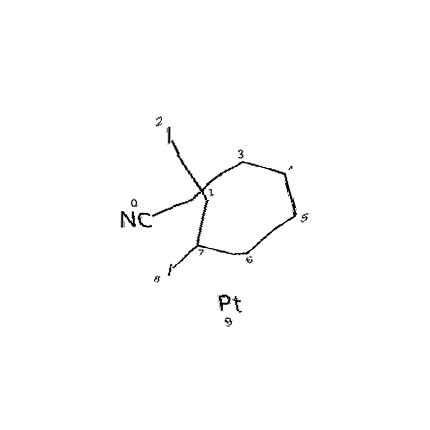 N#CC1(I)CCCCC1I.[Pt]